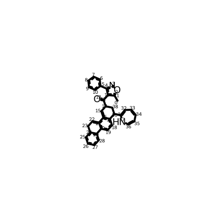 Cc1onc(-c2ccccc2)c1C(=O)C1C=c2c(ccc3c2=CCc2ccccc2-3)C(C2=CC=CC=CN2)C1